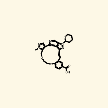 Cn1ncc2c1COCCOc1ccc(C(=O)O)cc1/C=C/c1nn(C3CCCCO3)c3cnc-2cc13